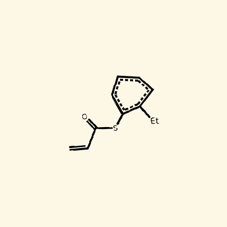 C=CC(=O)Sc1ccccc1CC